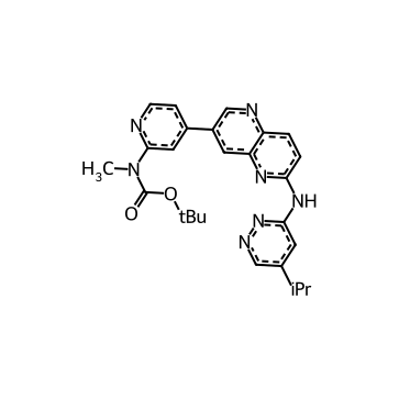 CC(C)c1cnnc(Nc2ccc3ncc(-c4ccnc(N(C)C(=O)OC(C)(C)C)c4)cc3n2)c1